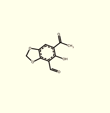 CC(=O)c1cc2c(c(C=O)c1O)OCO2